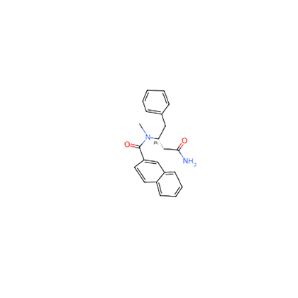 CN(C(=O)c1ccc2ccccc2c1)[C@@H](CC(N)=O)Cc1ccccc1